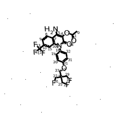 CC(=O)Oc1c(N)c2ccc(C(F)(F)F)cc2n(-c2ccc(OCC(CF)(CF)CF)cc2)c1=O